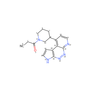 N#CCC(=O)N1CCCC(c2ccnc3nnc4[nH]ccc4c23)C1